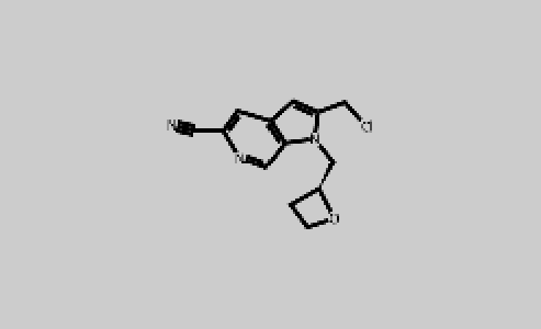 N#Cc1cc2cc(CCl)n(C[C@@H]3CCO3)c2cn1